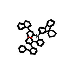 c1ccc(-c2ccccc2-c2ccccc2-c2ccccc2N(c2cccc(-c3cccc4ccccc34)c2)c2ccc3c(c2)C2(CCCCC2)c2ccccc2-3)cc1